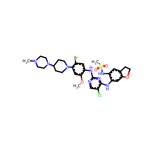 COc1cc(N2CCC(N3CCN(C)CC3)CC2)c(Br)cc1Nc1ncc(Cl)c(Nc2cc3c(cc2NS(C)(=O)=O)CCO3)n1